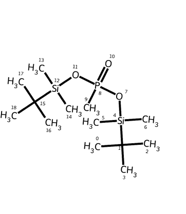 CC(C)(C)[Si](C)(C)OP(C)(=O)O[Si](C)(C)C(C)(C)C